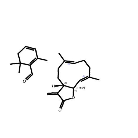 C=C1C(=O)O[C@@H]2/C=C(\C)CC/C=C(\C)CC[C@@H]12.CC1=C(C=O)C(C)(C)CC=C1